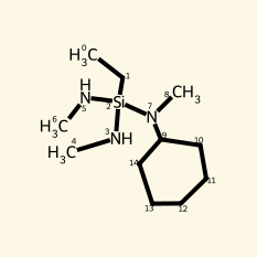 CC[Si](NC)(NC)N(C)C1CCCCC1